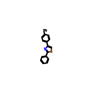 CC(C)c1ccc(-c2csc(-c3ccccc3)n2)cc1